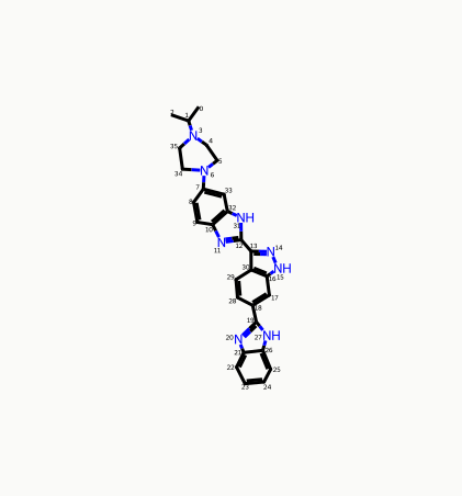 CC(C)N1CCN(c2ccc3nc(-c4n[nH]c5cc(-c6nc7ccccc7[nH]6)ccc45)[nH]c3c2)CC1